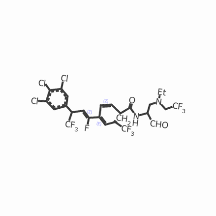 C=C(/C=C(\C=C/CC(=O)NC(C=O)CN(CC)CC(F)(F)F)C(/F)=C/C(c1cc(Cl)c(Cl)c(Cl)c1)C(F)(F)F)C(F)(F)F